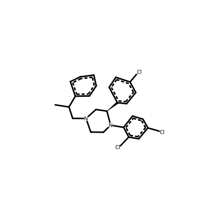 CC(CN1CCN(c2ccc(Cl)cc2Cl)[C@H](c2ccc(Cl)cc2)C1)c1ccccc1